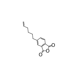 C=CCCCCc1ccc2c(c1)C(=O)OC2=O